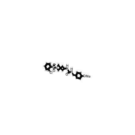 COc1ccc(CNC(=O)NC2CC3(C2)CN(S(=O)(=O)c2ccccc2Cl)C3)cc1